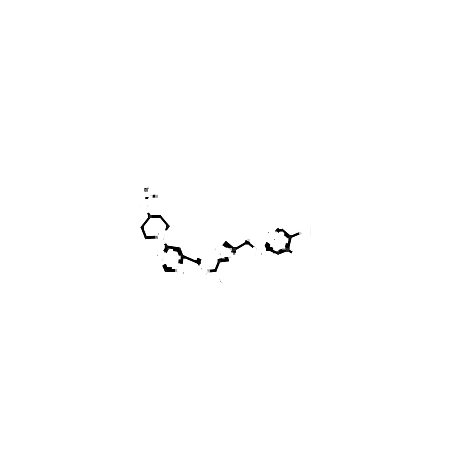 C[C@@H](NC(=O)c1cc(N2CCC(OP(O)O)CC2)ncn1)c1ncc(C(=O)Nc2cc(C(F)(F)F)c(Cl)cn2)s1